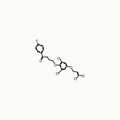 O=C(CCCOc1c(Cl)cc(OCC=C(Cl)Cl)cc1Cl)c1ccc(F)cc1